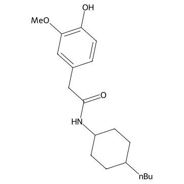 CCCCC1CCC(NC(=O)Cc2ccc(O)c(OC)c2)CC1